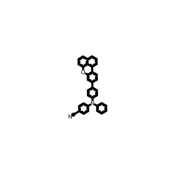 N#Cc1ccc(N(c2ccccc2)c2ccc(-c3ccc4c(c3)Oc3cccc5cccc-4c35)cc2)cc1